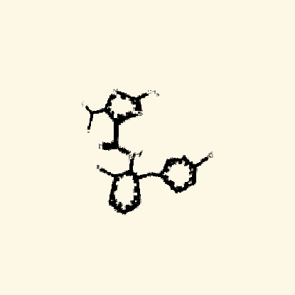 Cc1nc(C(F)F)c(C(=O)Nc2c(F)cccc2-c2ccc(Cl)cc2)s1